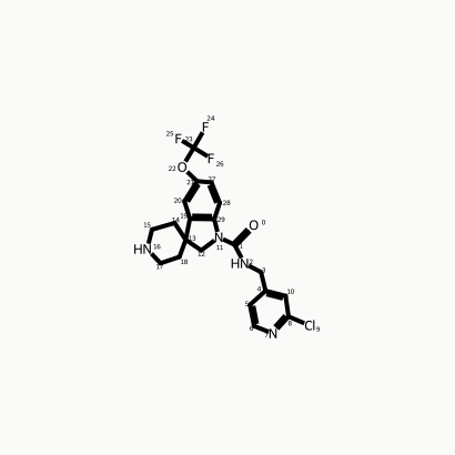 O=C(NCc1ccnc(Cl)c1)N1CC2(CCNCC2)c2cc(OC(F)(F)F)ccc21